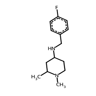 CC1CC(NCc2ccc(F)cc2)CCN1C